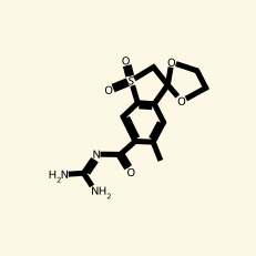 Cc1cc2c(cc1C(=O)N=C(N)N)S(=O)(=O)CC21OCCO1